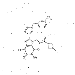 CCCn1c(=O)c2c(nc(-c3cnn(Cc4cccc(C(F)(F)F)c4)c3)n2COC(=O)C2CN(C)C2)n(CC)c1=O